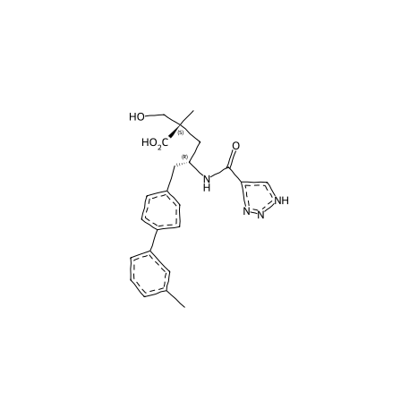 Cc1cccc(-c2ccc(C[C@H](C[C@@](C)(CO)C(=O)O)NC(=O)c3c[nH]nn3)cc2)c1